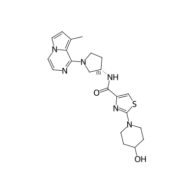 Cc1ccn2ccnc(N3CC[C@H](NC(=O)c4csc(N5CCC(O)CC5)n4)C3)c12